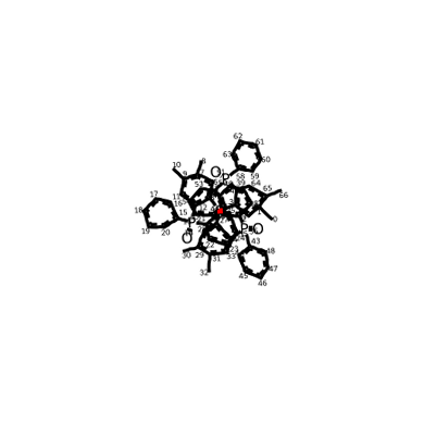 Cc1cc(P(c2cc(C)c(C)cc2P(=O)(c2ccccc2)c2ccccc2)c2cc(C)c(C)cc2P(=O)(c2ccccc2)c2ccccc2)c(P(=O)(c2ccccc2)c2ccccc2)cc1C